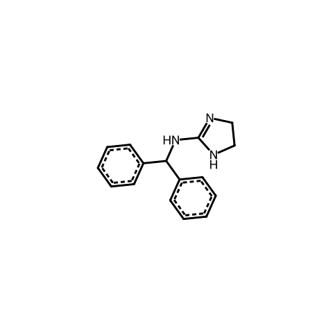 c1ccc(C(NC2=NCCN2)c2ccccc2)cc1